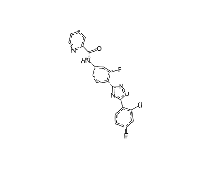 O=C(Nc1ccc(-c2noc(-c3ccc(F)cc3Cl)n2)c(F)c1)c1ccccn1